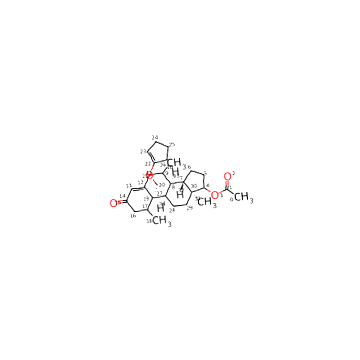 CC(=O)OC1CC[C@H]2[C@@H]3C(C)CC4=CC(=O)CC(C)[C@]4(COC4=CCCC4)[C@@H]3CC[C@]12C